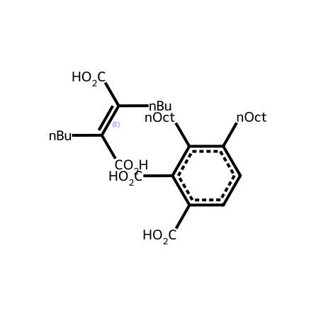 CCCC/C(C(=O)O)=C(/CCCC)C(=O)O.CCCCCCCCc1ccc(C(=O)O)c(C(=O)O)c1CCCCCCCC